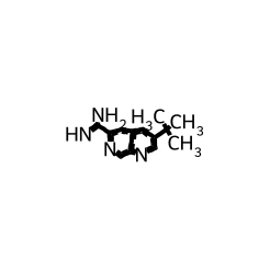 CC(C)(C)c1cnc2cnc(C(=N)N)cc2c1